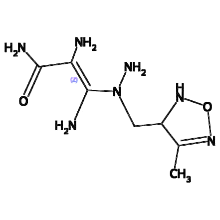 CC1=NONC1CN(N)/C(N)=C(\N)C(N)=O